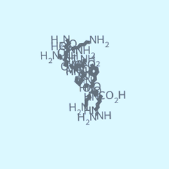 COc1ccc(CC(NC(=O)[C@@H]2CCCN2C(=O)[C@@H](CCCN)NC(=O)CNC(=O)[C@H](CCN)NC(=O)[C@@H](NC(=O)[C@@H](N)CCCCN)[C@@H](O)CN)C(=O)N[C@@H](CCCCN)C(=O)N/C(=C\CCNC(=N)N)C(=O)O)cc1OC